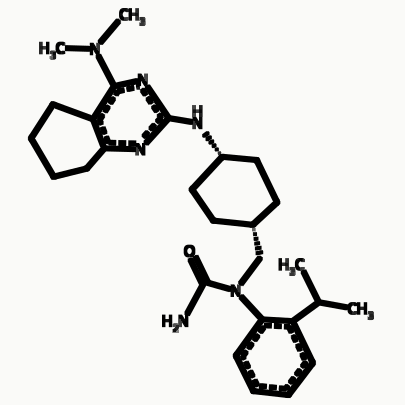 CC(C)c1ccccc1N(C[C@H]1CC[C@@H](Nc2nc3c(c(N(C)C)n2)CCCC3)CC1)C(N)=O